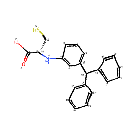 O=C(O)[C@H](CS)Nc1cccc(C(c2ccccc2)c2ccccc2)c1